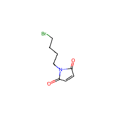 O=C1C=CC(=O)N1CCCCBr